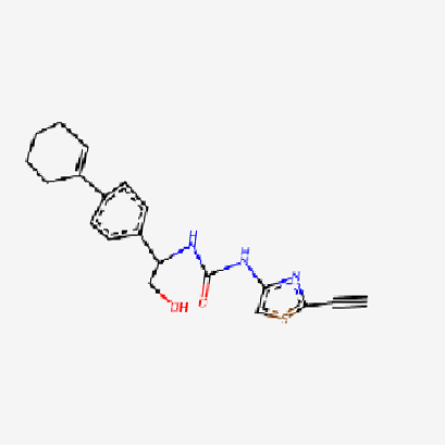 C#Cc1nc(NC(=O)NC(CO)c2ccc(C3=CCCCC3)cc2)cs1